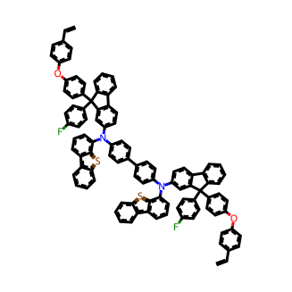 C=Cc1ccc(Oc2ccc(C3(c4ccc(F)cc4)c4ccccc4-c4ccc(N(c5ccc(-c6ccc(N(c7ccc8c(c7)C(c7ccc(F)cc7)(c7ccc(Oc9ccc(C=C)cc9)cc7)c7ccccc7-8)c7cccc8c7sc7ccccc78)cc6)cc5)c5cccc6c5sc5ccccc56)cc43)cc2)cc1